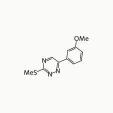 COc1cccc(-c2cnc(SC)nn2)c1